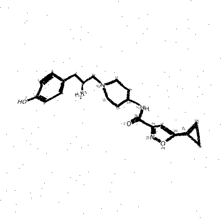 N[C@@H](Cc1ccc(O)cc1)CN1CCC(NC(=O)c2cc(C3CC3)on2)CC1